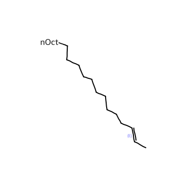 C/C=C/CCCCCCCCCCCCCCCCCC